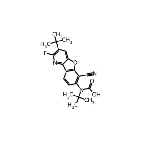 CC(C)(C)c1cc2oc3c(C#N)c(N(C(=O)O)C(C)(C)C)ccc3c2nc1F